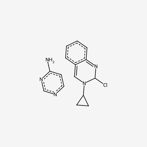 ClC1N=c2ccccc2=CN1C1CC1.Nc1ccncn1